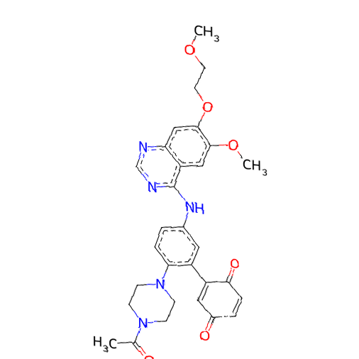 COCCOc1cc2ncnc(Nc3ccc(N4CCN(C(C)=O)CC4)c(C4=CC(=O)C=CC4=O)c3)c2cc1OC